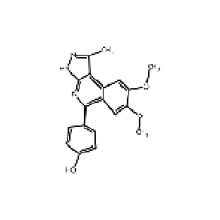 COc1cc2c(-c3ccc(O)cc3)nc3[nH]nc(C)c3c2cc1OC